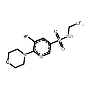 O=S(=O)(NCC(F)(F)F)c1cnc(N2CCOCC2)c(Br)c1